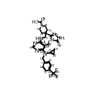 Cn1c(C2(CNc3ncnc(N(Cc4ccc(C(F)(F)F)cc4)C4CC4)c3F)CCN(C(=O)O)CC2)n[nH]c1=S